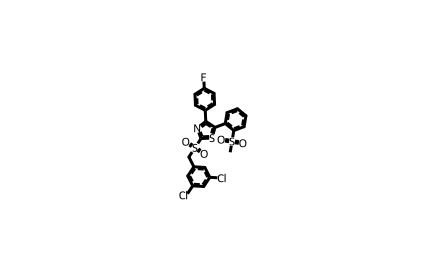 CS(=O)(=O)c1ccccc1-c1sc(S(=O)(=O)Cc2cc(Cl)cc(Cl)c2)nc1-c1ccc(F)cc1